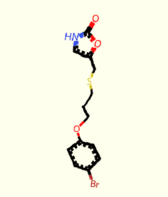 O=c1[nH]cc(CSCCCOc2ccc(Br)cc2)o1